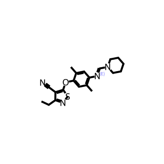 CCc1nsc(Oc2cc(C)c(/N=C/N3CCCCC3)cc2C)c1C#N